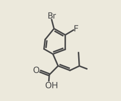 CC(C)/C=C(/C(=O)O)c1ccc(Br)c(F)c1